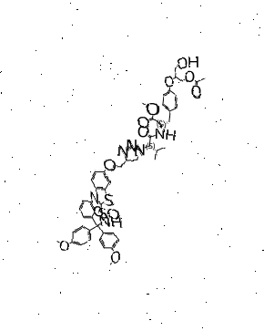 COC(=O)[C@H](Cc1ccc(OC(CO)COC(C)=O)cc1)NC(=O)[C@H](C(C)C)N1CC(COc2ccc3nc(S(=O)(=O)NC(c4ccccc4)(c4ccc(OC)cc4)c4ccc(OC)cc4)sc3c2)N=N1